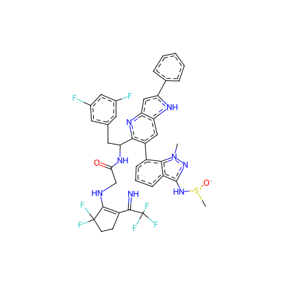 Cn1nc(N[S+](C)[O-])c2cccc(-c3cc4[nH]c(-c5ccccc5)cc4nc3C(Cc3cc(F)cc(F)c3)NC(=O)CNC3=C(C(=N)C(F)(F)F)CCC3(F)F)c21